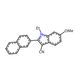 CCn1c(-c2ccc3ccccc3c2)c(C#N)c2ccc(OC)cc21